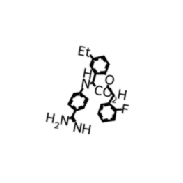 CCc1ccc(OCCc2ccccc2F)c(C(Nc2ccc(C(=N)N)cc2)C(=O)O)c1